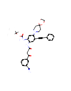 CC(C)(C)OC(=O)Nc1cc(N2CCC3(CC2)OCCO3)c(C#Cc2ccccc2)cc1NC(=O)CC(=O)c1cccc(C#N)c1